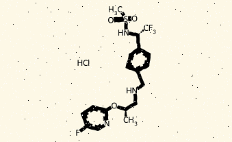 C[C@H](CNCc1ccc([C@H](NS(C)(=O)=O)C(F)(F)F)cc1)Oc1ccc(F)cn1.Cl